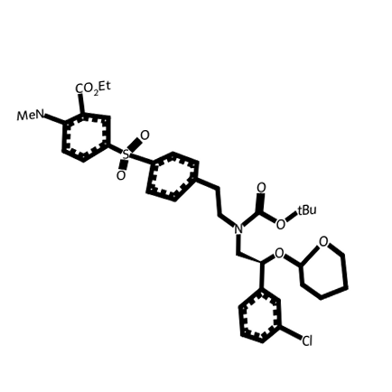 CCOC(=O)c1cc(S(=O)(=O)c2ccc(CCN(C[C@@H](OC3CCCCO3)c3cccc(Cl)c3)C(=O)OC(C)(C)C)cc2)ccc1NC